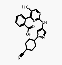 Cc1cnc(Nc2cnn(C3CCC(C#N)CC3)c2)nc1-c1ccccc1C(=O)O